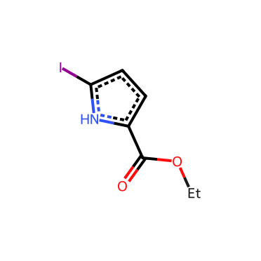 CCOC(=O)c1ccc(I)[nH]1